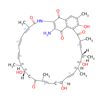 C/C1=C/C=C\C=C\[C@H](C)[C@@H](O)CC(=O)/C(C)=C/C[C@H](O)/C=C/[C@H](C)[C@H](O)[C@@H](C)/C=C(\C)C(=O)c2c(O)c(C)cc3c2C(=O)C(N)=C(NC1=O)C3=O